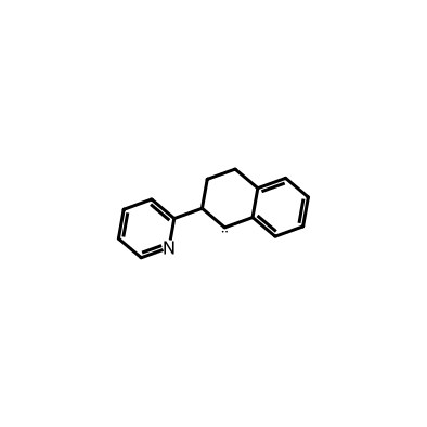 [C]1c2ccccc2CCC1c1ccccn1